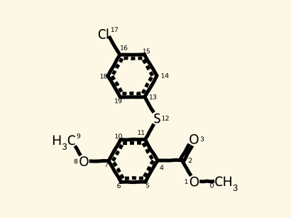 COC(=O)c1ccc(OC)cc1Sc1ccc(Cl)cc1